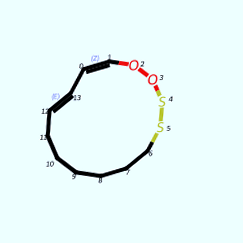 C1=C\OOSSCCCCCC/C=C/1